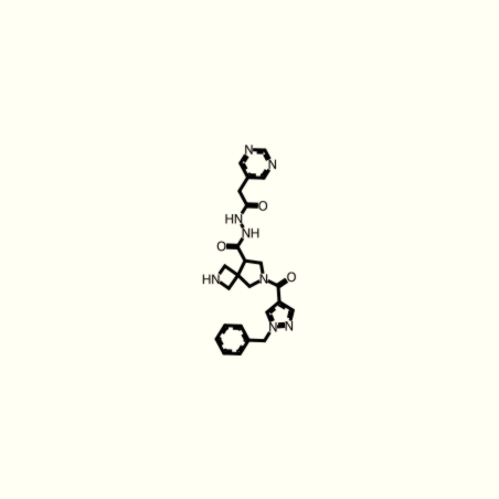 O=C(Cc1cncnc1)NNC(=O)C1CN(C(=O)c2cnn(Cc3ccccc3)c2)CC12CNC2